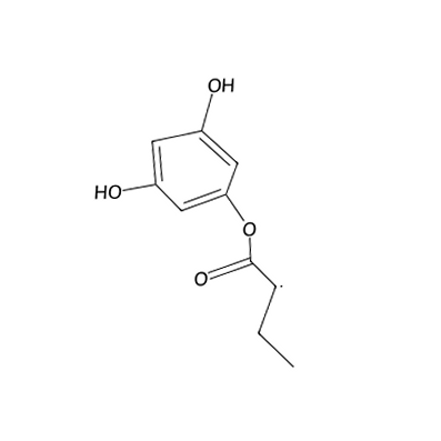 CC[CH]C(=O)Oc1cc(O)cc(O)c1